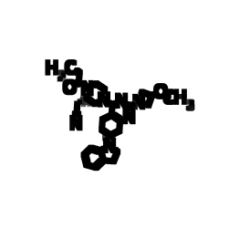 C=CC(=O)N1CCN(c2nc(N3CC(OC)C3)nc3c2CC[C@@H](N2CCc4ccccc42)C3)C[C@@H]1CC#N